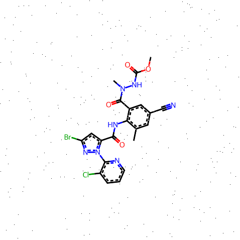 COC(=O)NN(C)C(=O)c1cc(C#N)cc(C)c1NC(=O)c1cc(Br)nn1-c1ncccc1Cl